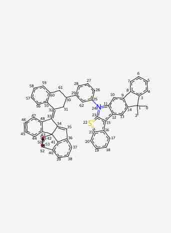 CC1(C)c2ccccc2-c2cc3c(cc21)c1c2ccccc2sc1n3-c1cccc(C2C/C(=C3\C4=Cc5cccc6c5C4(c4cc#ccc43)c3ccccc3-6)c3ccccc3C2)c1